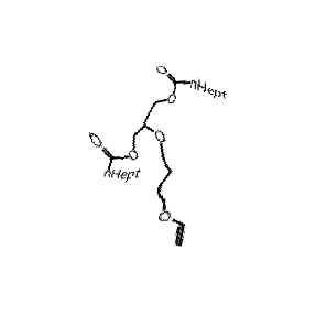 C=COCCCCOC(COC(=O)CCCCCCC)COC(=O)CCCCCCC